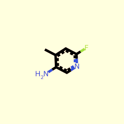 Cc1cc(F)ncc1N